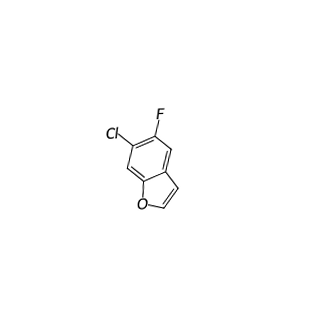 Fc1cc2ccoc2cc1Cl